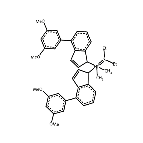 CC[Si](CC)=[Hf]([CH3])([CH3])([CH]1C=Cc2c(-c3cc(OC)cc(OC)c3)cccc21)[CH]1C=Cc2c(-c3cc(OC)cc(OC)c3)cccc21